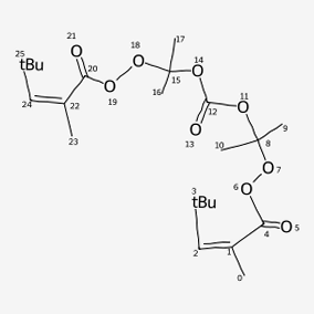 C/C(=C/C(C)(C)C)C(=O)OOC(C)(C)OC(=O)OC(C)(C)OOC(=O)/C(C)=C\C(C)(C)C